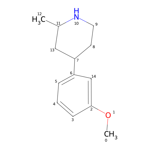 COc1cccc(C2CCNC(C)C2)c1